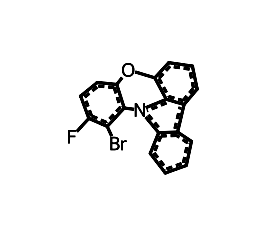 Fc1ccc2c(c1Br)-n1c3ccccc3c3cccc(c31)O2